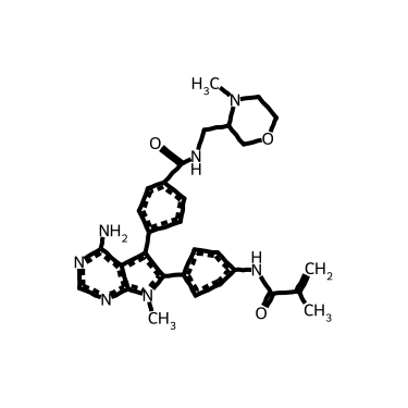 C=C(C)C(=O)Nc1ccc(-c2c(-c3ccc(C(=O)NCC4COCCN4C)cc3)c3c(N)ncnc3n2C)cc1